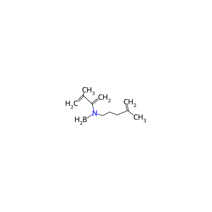 BN(CCCC(=C)C)C(=C)C(=C)C